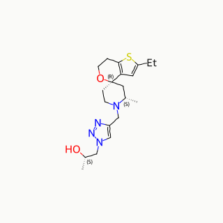 CCc1cc2c(s1)CCO[C@@]21CCN(Cc2cn(C[C@H](C)O)nn2)[C@@H](C)C1